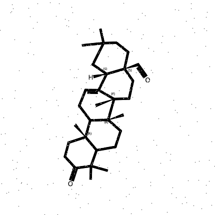 CC1(C)CC[C@]2(C=O)CC[C@@]3(C)C(=CCC4[C@@]5(C)CCC(=O)C(C)(C)C5CC[C@]43C)[C@@H]2C1